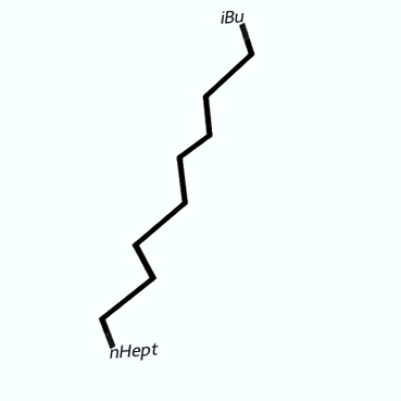 CCCCCCCCCCCCCCCC(C)CC